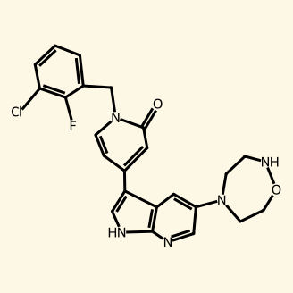 O=c1cc(-c2c[nH]c3ncc(N4CCNOCC4)cc23)ccn1Cc1cccc(Cl)c1F